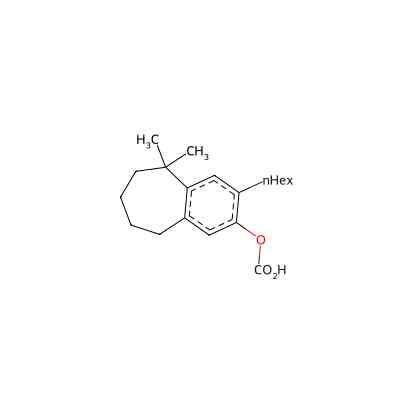 CCCCCCc1cc2c(cc1OC(=O)O)CCCCC2(C)C